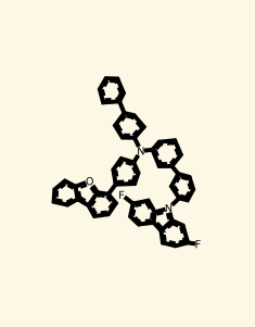 Fc1ccc2c3ccc(F)cc3n(-c3cccc(-c4cccc(N(c5ccc(-c6ccccc6)cc5)c5ccc(-c6cccc7c6oc6ccccc67)cc5)c4)c3)c2c1